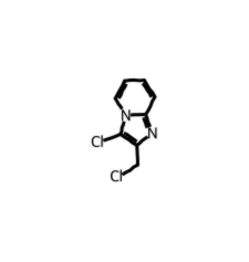 ClCc1nc2ccccn2c1Cl